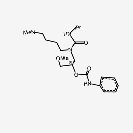 CNCCCCN(C[C@H](COC)OC(=O)Nc1ccccc1)C(=O)NC(C)C